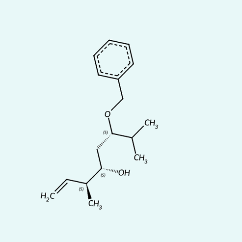 C=C[C@H](C)[C@@H](O)C[C@H](OCc1ccccc1)C(C)C